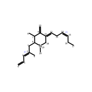 C=C/C=C(\C)CC1C(C)C(=C)C(=CC/C=C\CC)CN1C